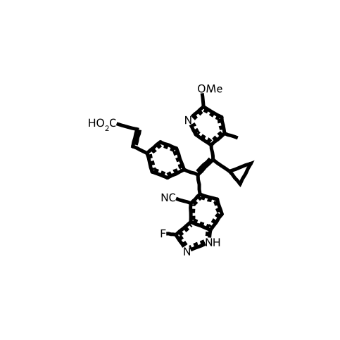 COc1cc(C)c(C(=C(c2ccc(C=CC(=O)O)cc2)c2ccc3[nH]nc(F)c3c2C#N)C2CC2)cn1